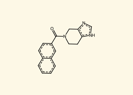 O=C(c1ccc2ccccc2c1)N1CCc2[nH]cnc2C1